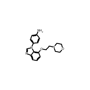 Nc1ccc(-n2cnc3cccc(OCCN4CCOCC4)c32)cc1